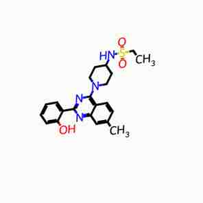 CCS(=O)(=O)NC1CCN(c2nc(-c3ccccc3O)nc3cc(C)ccc23)CC1